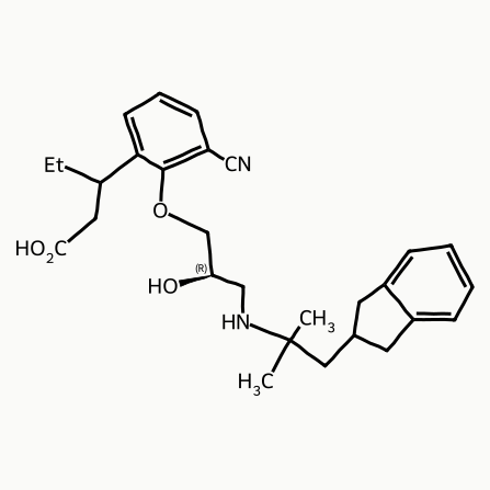 CCC(CC(=O)O)c1cccc(C#N)c1OC[C@H](O)CNC(C)(C)CC1Cc2ccccc2C1